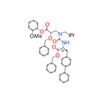 COc1ccccc1OC(=O)C(CN(CC(C)C)C(=O)N[C@@H](Cc1ccc(-c2ccccc2)cc1)C(=O)OCc1ccccc1)OCc1ccccc1